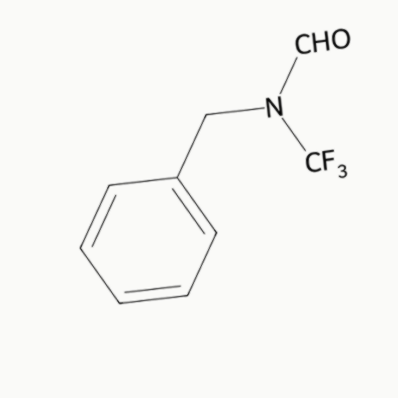 O=CN(Cc1ccccc1)C(F)(F)F